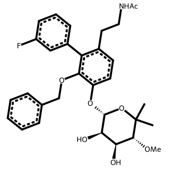 CO[C@@H]1[C@@H](O)[C@@H](O)[C@H](Oc2ccc(CCNC(C)=O)c(-c3cccc(F)c3)c2OCc2ccccc2)OC1(C)C